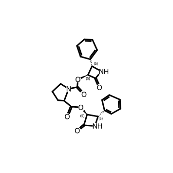 O=C(O[C@@H]1C(=O)N[C@H]1c1ccccc1)C1CCCN1C(=O)O[C@@H]1C(=O)N[C@H]1c1ccccc1